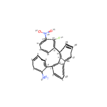 Nc1ccccc1-c1cccc2c1-c1c(-c3cccc([N+](=O)[O-])c3F)cccc1-2